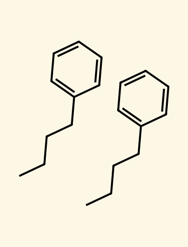 CCCCc1ccccc1.CCCCc1ccccc1